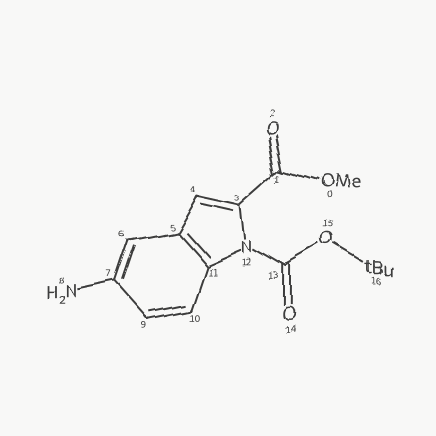 COC(=O)c1cc2cc(N)ccc2n1C(=O)OC(C)(C)C